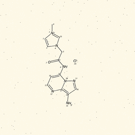 C[n+]1ccn(CC(=O)Nc2ccnc3c(N)cnn23)c1.[Cl-]